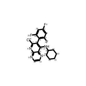 Fc1cc(F)c(-c2c(Cl)nc3nccnc3c2NC2CCCCC2)c(F)c1